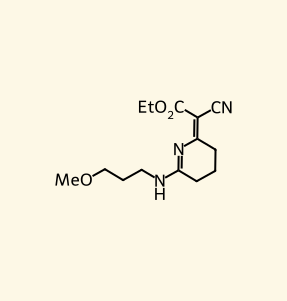 CCOC(=O)/C(C#N)=C1/CCCC(NCCCOC)=N1